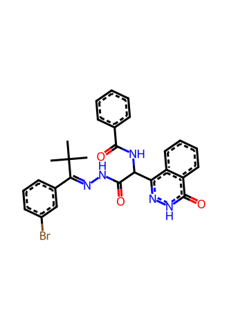 CC(C)(C)/C(=N\NC(=O)C(NC(=O)c1ccccc1)c1n[nH]c(=O)c2ccccc12)c1cccc(Br)c1